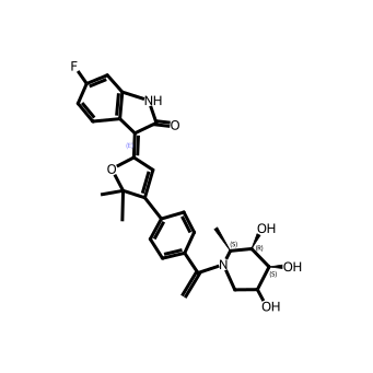 C=C(c1ccc(C2=C/C(=C3\C(=O)Nc4cc(F)ccc43)OC2(C)C)cc1)N1CC(O)[C@H](O)[C@H](O)[C@@H]1C